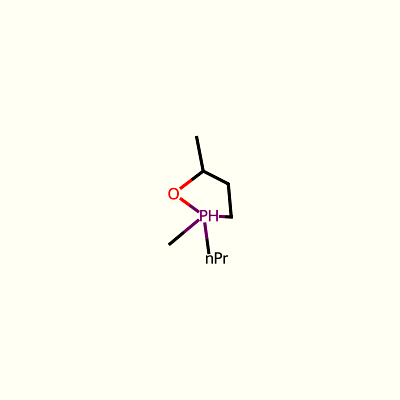 CCC[PH]1(C)CCC(C)O1